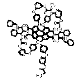 C=CC(=O)Oc1ccnc(Oc2ccc(Oc3cc4c5c(cc(Oc6ccc(Oc7cc(OC(=O)C=C)ccn7)cc6)c6c7c(Oc8ccc(Oc9cc(OC(=O)C=C)ccn9)cc8)cc8c9c(cc(Oc%10ccc(Oc%11cc(OC(=O)C=C)ccn%11)cc%10)c(c3c56)c97)C(=O)N(C(Cc3ccccc3)C(=O)NCc3ccccc3)C8=O)C(=O)N(C(Cc3ccccc3)C(=O)NCc3ccccc3)C4=O)cc2)c1